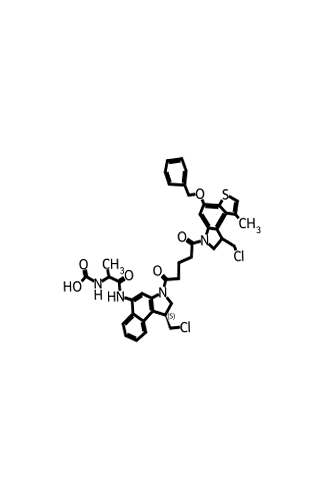 Cc1csc2c(OCc3ccccc3)cc3c(c12)C(CCl)CN3C(=O)CCCC(=O)N1C[C@@H](CCl)c2c1cc(NC(=O)C(C)NC(=O)O)c1ccccc21